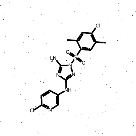 Cc1cc(S(=O)(=O)n2nc(Nc3ccc(Cl)nc3)nc2N)c(C)cc1Cl